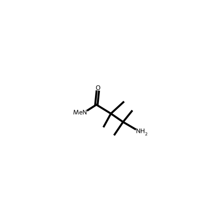 CNC(=O)C(C)(C)C(C)(C)N